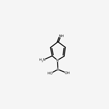 N=c1ccn(B(O)O)c(N)c1